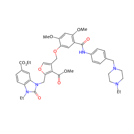 CCOC(=O)c1ccc2c(c1)n(Cc1occ(COc3cc(C(=O)Nc4ccc(CN5CCN(CC)CC5)cc4)c(OC)cc3OC)c1C(=O)OC)c(=O)n2CC